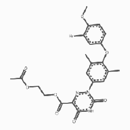 COc1ccc(Oc2c(C)cc(-n3nc(C(=O)OCCOC(C)=O)c(=O)[nH]c3=O)cc2C)cc1Br